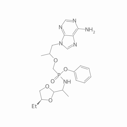 CC[C@H]1COC(C(C)NP(=O)(COC(C)Cn2cnc3c(N)ncnc32)Oc2ccccc2)O1